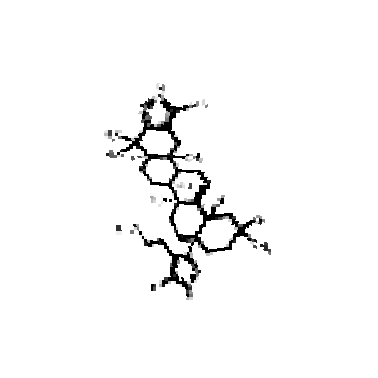 CC1(C)CC[C@]2(c3n[nH]c(O)c3CCN)CC[C@]3(C)C(=CCC4[C@@]5(C)Cc6c(n[nH]c6N)C(C)(C)[C@@H]5CC[C@]43C)[C@@H]2C1